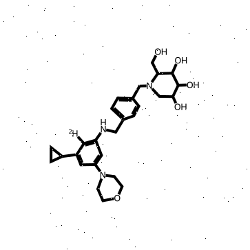 [2H]c1c(NCc2ccc(CN3CC(O)C(O)C(O)C3CO)cc2)cc(N2CCOCC2)cc1C1CC1